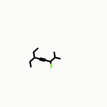 CCC(C#CC(F)C(C)C)CC